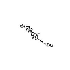 CCCCCCc1ccc(-c2ccc3c(F)c(OCCCCCCCC(C)CC)c(F)cc3c2)nc1F